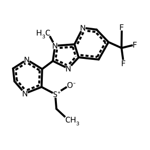 CC[S+]([O-])c1nccnc1-c1nc2cc(C(F)(F)F)cnc2n1C